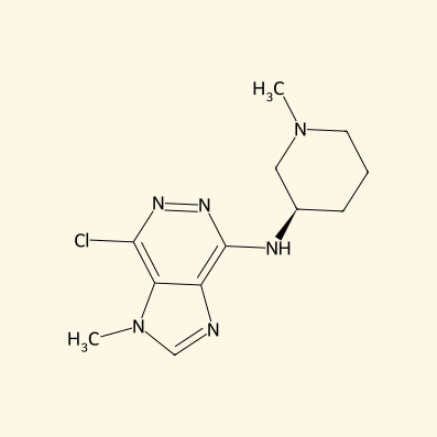 CN1CCC[C@@H](Nc2nnc(Cl)c3c2ncn3C)C1